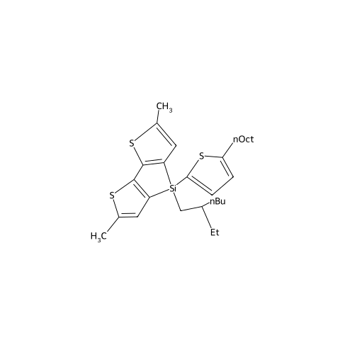 CCCCCCCCc1ccc([Si]2(CC(CC)CCCC)c3cc(C)sc3-c3sc(C)cc32)s1